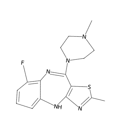 Cc1nc2c(s1)C(N1CCN(C)CC1)=Nc1c(F)cccc1N2